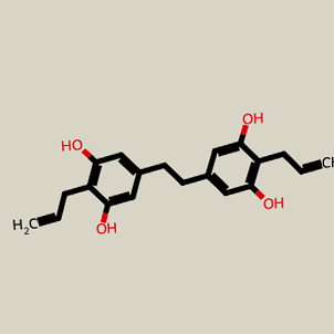 C=CCc1c(O)cc(CCc2cc(O)c(CC=C)c(O)c2)cc1O